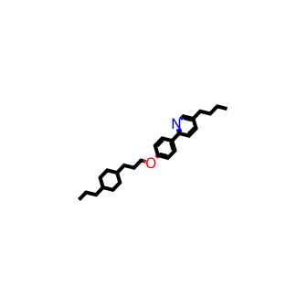 CCCCc1ccc(-c2ccc(OCCCC3CCC(CCC)CC3)cc2)nc1